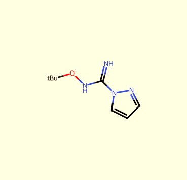 CC(C)(C)ONC(=N)n1cccn1